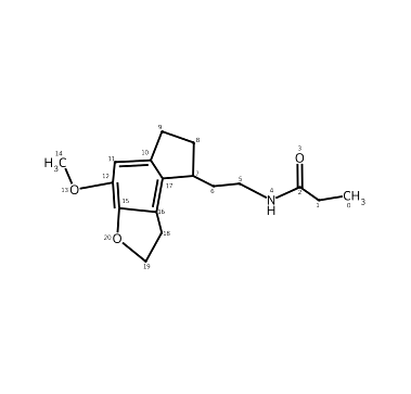 CCC(=O)NCCC1CCc2cc(OC)c3c(c21)CCO3